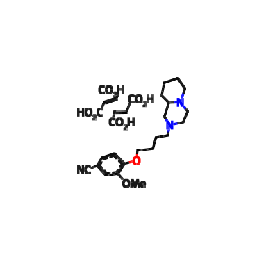 COc1cc(C#N)ccc1OCCCCN1CCN2CCCCC2C1.O=C(O)/C=C/C(=O)O.O=C(O)/C=C/C(=O)O